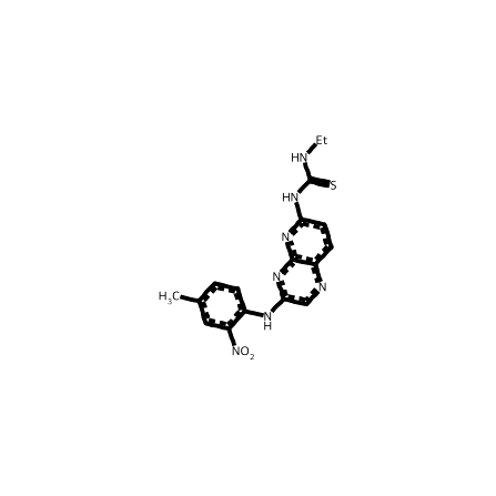 CCNC(=S)Nc1ccc2ncc(Nc3ccc(C)cc3[N+](=O)[O-])nc2n1